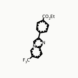 CCOC(=O)c1ccc(-c2cn3cc(C(F)(F)F)ccc3n2)cc1